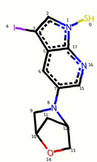 Sn1cc(I)c2cc(N3CC4CC3CO4)cnc21